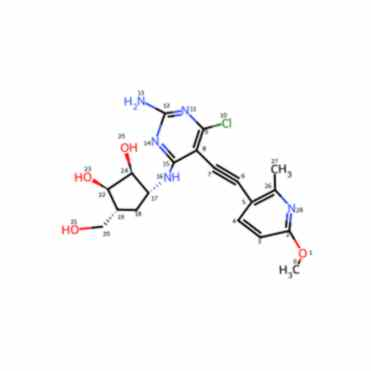 COc1ccc(C#Cc2c(Cl)nc(N)nc2N[C@@H]2C[C@H](CO)[C@@H](O)[C@H]2O)c(C)n1